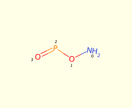 NOP=O